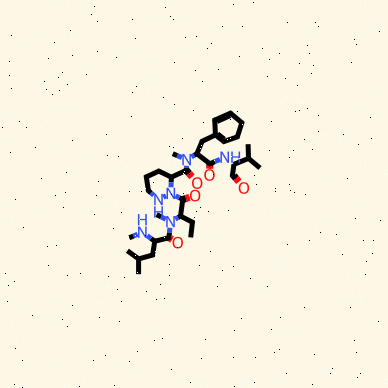 CCC(C(=O)N1NCCCC1C(=O)N(C)C(CC1=CCCC=C1)C(=O)NC(C=O)C(C)C)N(C)C(=O)C(CC(C)C)NC